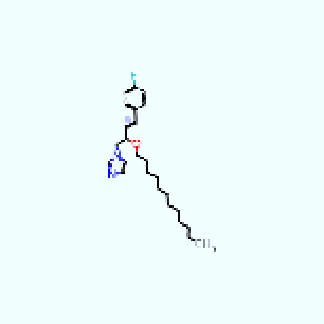 CCCCCCCCCCCCOC(/C=C/c1ccc(F)cc1)Cn1ccnc1